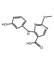 CSc1ncc(C(=O)O)c(Nc2cccc(O)c2)n1